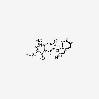 CCn1cc(C(=O)O)c(=O)c2cc(C3c4ccccc4CC3N)c(Cl)cc21